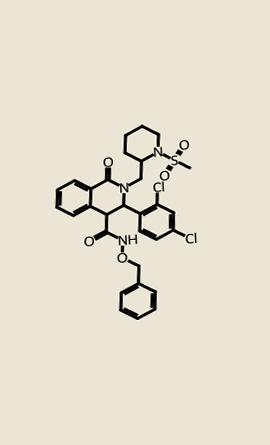 CS(=O)(=O)N1CCCCC1CN1C(=O)c2ccccc2C(C(=O)NOCc2ccccc2)C1c1ccc(Cl)cc1Cl